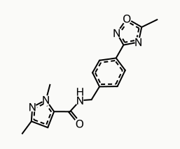 Cc1cc(C(=O)NCc2ccc(-c3noc(C)n3)cc2)n(C)n1